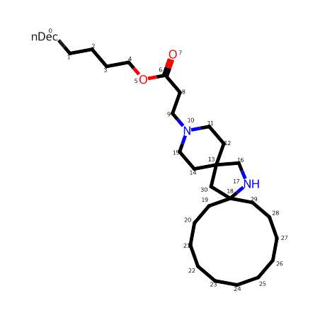 CCCCCCCCCCCCCCOC(=O)CCN1CCC2(CC1)CNC1(CCCCCCCCCCC1)C2